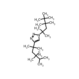 CC(C)C(C)(C)CC(C)(C)c1cn(C(C)(C)CC(C)(C)C(C)(C)C)nn1